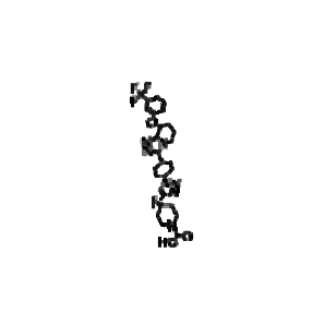 O=C(O)N1CCC(F)(c2cn(C3CCC(c4nnc5n4CCCC5Oc4cccc(C(F)(F)F)c4)CC3)nn2)CC1